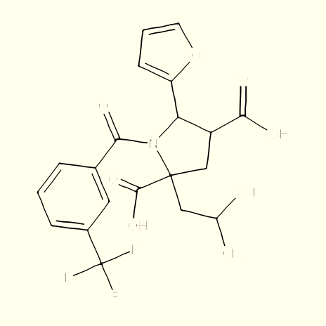 CC(C)CC1(C(=O)O)CC(C(=O)O)C(c2ccco2)N1C(=O)c1cccc(C(F)(F)F)c1